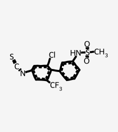 CS(=O)(=O)Nc1cccc(-c2c(Cl)cc(N=C=S)cc2C(F)(F)F)c1